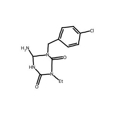 CCN1C(=O)NC(N)N(Cc2ccc(Cl)cc2)C1=O